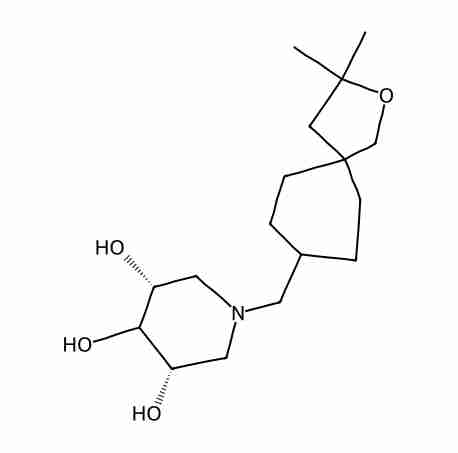 CC1(C)CC2(CCC(CN3C[C@@H](O)C(O)[C@@H](O)C3)CC2)CO1